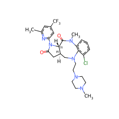 Cc1cc(C(F)(F)F)cc(N2C(=O)C[C@@H]3CN(CCN4CCN(C)CC4)c4c(Cl)cccc4N(C)C(=O)[C@H]32)n1